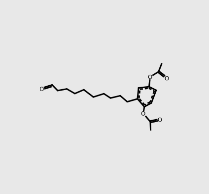 CC(=O)Oc1ccc(OC(C)=O)c(CCCCCCCCCC=O)c1